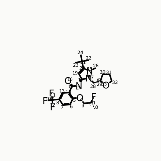 C[C@@H](F)COc1ccc(C(F)(F)F)cc1C(=O)N=c1cc(C(C)(C)C)n(C)n1C[C@H]1CCCO1